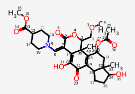 COCC1OC(=O)C(=CN2CCC(C(=O)OC)CC2)C2=C(O)C(=O)C3=C(C(OC(C)=O)CC4(C)C(O)CCC34)C21C